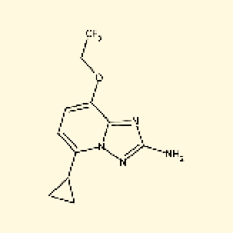 Nc1nc2c(OCC(F)(F)F)ccc(C3CC3)n2n1